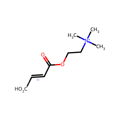 C[N+](C)(C)CCOC(=O)/C=C/C(=O)O